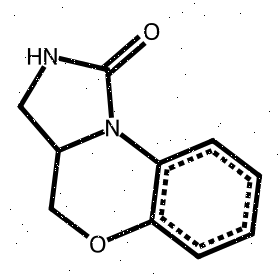 O=C1NCC2COc3ccccc3N12